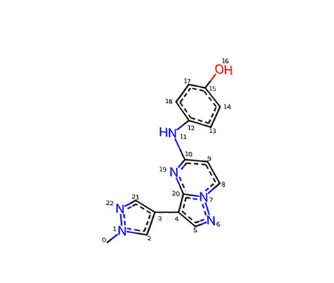 Cn1cc(-c2cnn3ccc(Nc4ccc(O)cc4)nc23)cn1